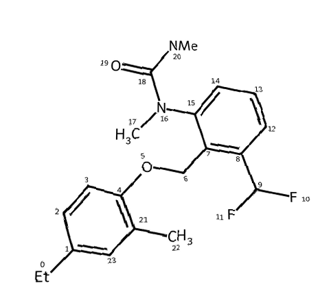 CCc1ccc(OCc2c(C(F)F)cccc2N(C)C(=O)NC)c(C)c1